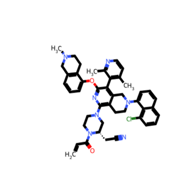 C=CC(=O)N1CCN(c2nc(Oc3cccc4c3CCN(C)C4)c(-c3c(C)ccnc3C)c3c2CCN(c2cccc4cccc(Cl)c24)C3)C[C@@H]1CC#N